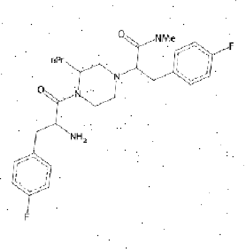 CCCC1CN(C(Cc2ccc(F)cc2)C(=O)NC)CCN1C(=O)C(N)Cc1ccc(F)cc1